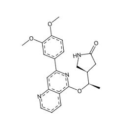 COc1ccc(-c2cc3ncccc3c(O[C@H](C)[C@H]3CNC(=O)C3)n2)cc1OC